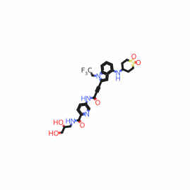 O=C(C#Cc1cc2c(NC3CCS(=O)(=O)CC3)cccc2n1CC(F)(F)F)Nc1ccc(C(=O)NCC(O)CO)nc1